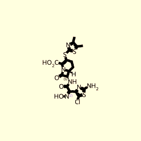 Cc1nc(SC2=C(C(=O)O)N3C(=O)[C@@H](NC(=O)/C(=N\O)c4nc(N)sc4Cl)[C@H]3CC2)sc1C